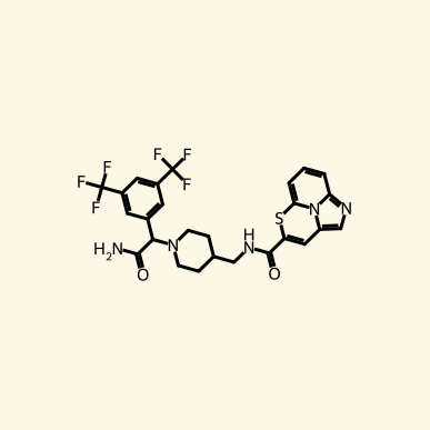 NC(=O)C(c1cc(C(F)(F)F)cc(C(F)(F)F)c1)N1CCC(CNC(=O)C2=Cc3cnc4cccc(n34)S2)CC1